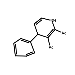 CC(=O)C1=C(C(C)=O)C(c2ccccc2)C=CN1